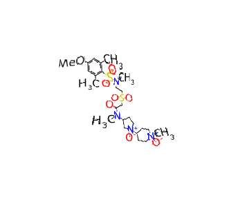 COc1cc(C)c(S(=O)(=O)N(C)CCS(=O)(=O)CC(=O)N(C)C2CC[N+]([O-])(C3CC[N+](C)([O-])CC3)C2)c(C)c1